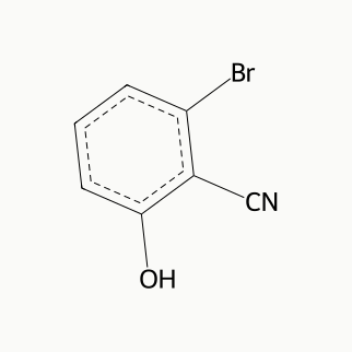 N#Cc1c(O)cccc1Br